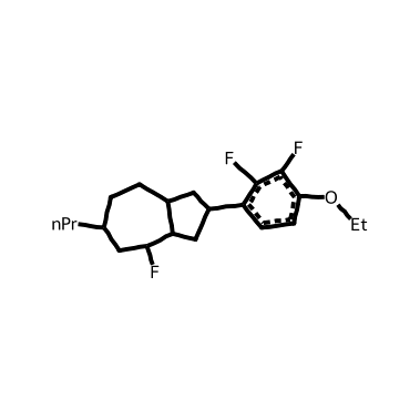 CCCC1CCC2CC(c3ccc(OCC)c(F)c3F)CC2C(F)C1